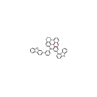 c1cc(-c2ccc3c(c2)oc2ccccc23)cc(N(c2cccc(-c3cccc4sc5ccccc5c34)c2)c2ccccc2-c2cccc3cccc(C4CCCCC4)c23)c1